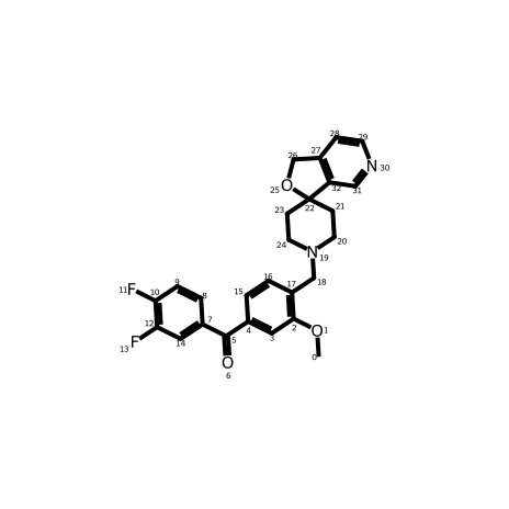 COc1cc(C(=O)c2ccc(F)c(F)c2)ccc1CN1CCC2(CC1)OCc1ccncc12